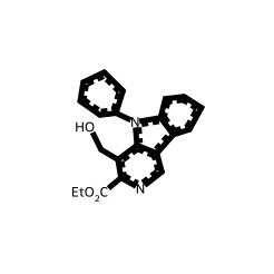 CCOC(=O)c1ncc2c3ccccc3n(-c3ccccc3)c2c1CO